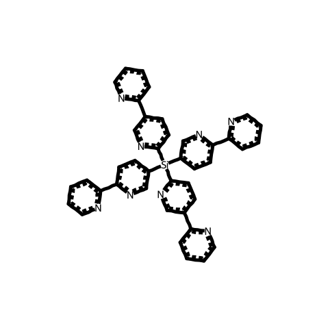 c1ccc(-c2ccc([Si](c3ccc(-c4ccccn4)nc3)(c3ccc(-c4ccccn4)nc3)c3ccc(-c4ccccn4)cn3)nc2)nc1